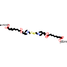 CCCCCCCCCOC(=O)CCCCCCCC(=O)OCCC1CCN(CCSSCCN2CCC(CCOC(=O)CCCCCCCC(=O)OCCCCCCCCC)CC2)CC1